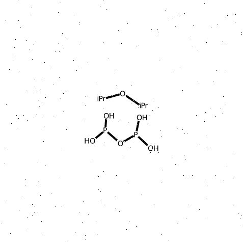 CC(C)OC(C)C.OP(O)OP(O)O